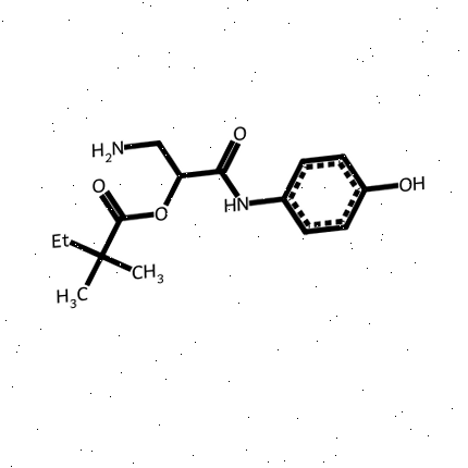 CCC(C)(C)C(=O)OC(CN)C(=O)Nc1ccc(O)cc1